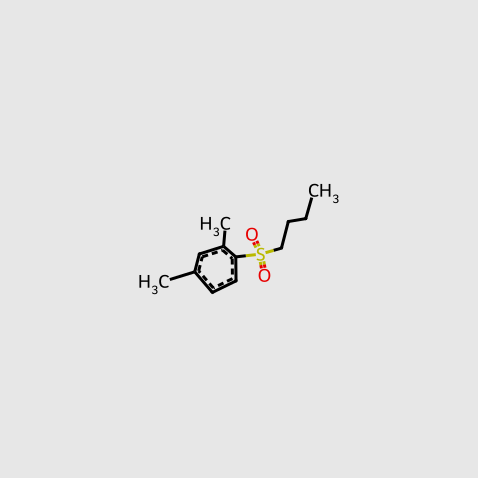 CCCCS(=O)(=O)c1ccc(C)cc1C